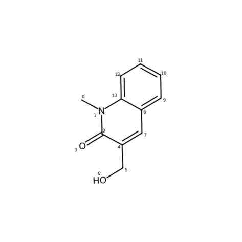 Cn1c(=O)c(CO)cc2ccccc21